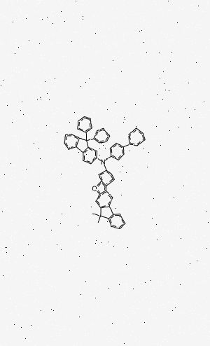 CC1(C)c2ccccc2-c2cc3c(cc21)oc1cc(N(c2ccc(-c4ccccc4)cc2)c2ccc4c(c2)C(c2ccccc2)(c2ccccc2)c2ccccc2-4)ccc13